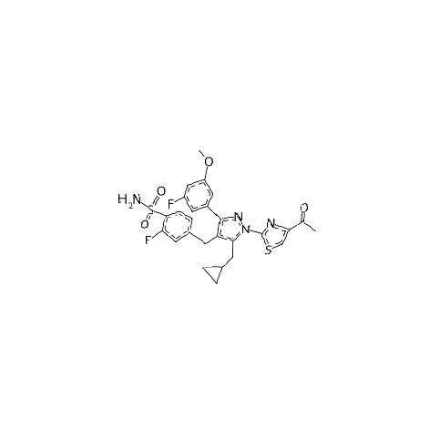 COc1cc(F)cc(-c2nn(-c3nc(C(C)=O)cs3)c(CC3CC3)c2Cc2ccc(S(N)(=O)=O)c(F)c2)c1